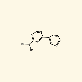 BrC(Br)c1ncnc(-c2ccccc2)n1